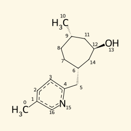 Cc1ccc(C[C@@H]2CC[C@H](C)C[C@@H](O)C2)nc1